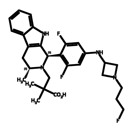 C[C@@H]1Cc2c([nH]c3ccccc23)[C@@H](c2c(F)cc(NC3CN(CCCF)C3)cc2F)N1CC(C)(C)C(=O)O